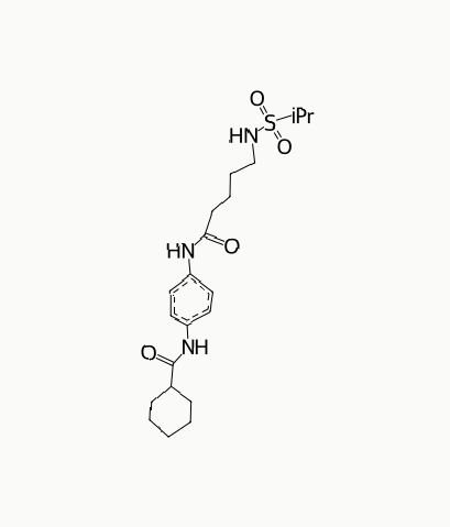 CC(C)S(=O)(=O)NCCCCC(=O)Nc1ccc(NC(=O)C2CCCCC2)cc1